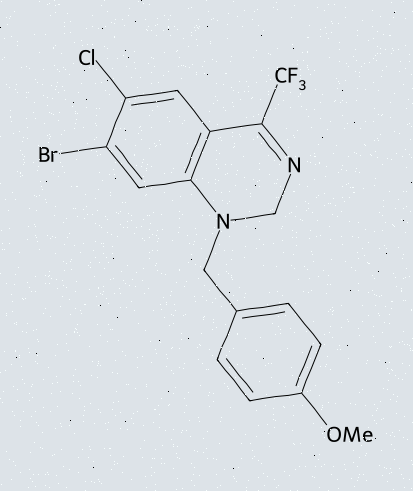 COc1ccc(CN2CN=C(C(F)(F)F)c3cc(Cl)c(Br)cc32)cc1